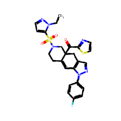 CCn1nccc1S(=O)(=O)N1CCC2=Cc3c(cnn3-c3ccc(F)cc3)CC2(C(=O)c2nccs2)C1